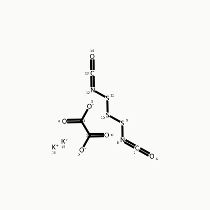 O=C([O-])C(=O)[O-].O=C=NSSSN=C=O.[K+].[K+]